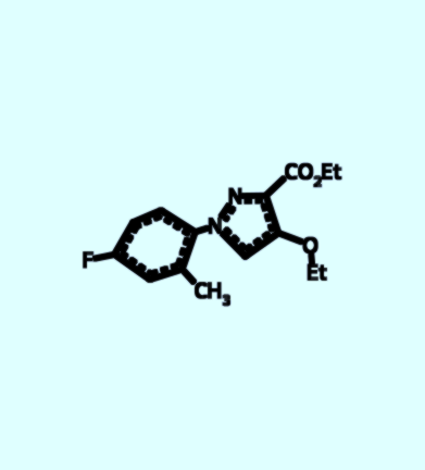 CCOC(=O)c1nn(-c2ccc(F)cc2C)cc1OCC